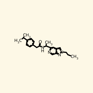 CCCn1cc2cc(C(C)NC(=O)Cc3ccc(C(C)C)cc3)ncc2n1